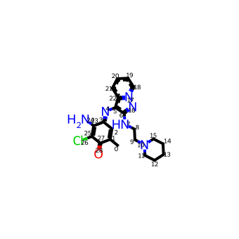 CC1=C/C(=N\c2c(NCCN3CCCCC3)nn3ccccc23)C(N)=C(Cl)C1=O